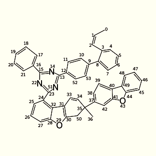 C/C=C\c1ccccc1-c1ccc(-c2nc(-c3ccccc3)nc(-c3cccc4oc5c(c34)C=CC(C)(c3ccc4c(c3)oc3ccccc34)C5)n2)cc1